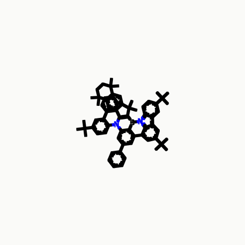 CC(C)(C)c1ccc(N2C3=C(B4c5c(cc(-c6ccccc6)cc52)-c2cc(C(C)(C)C)cc5c6cc(C(C)(C)C)ccc6n4c25)C(C)(C)c2cc4c(cc23)C(C)(C)CCC4(C)C)c(-c2ccccc2)c1